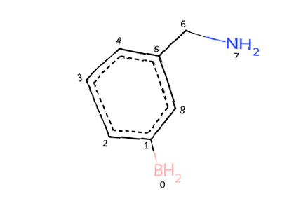 Bc1cccc(CN)c1